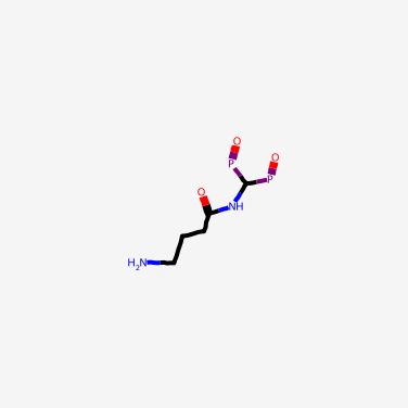 NCCCC(=O)NC(P=O)P=O